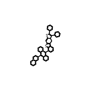 C1=C2SC(c3ccccc3)=C(c3ccccc3)C2Cc2c1sc1c(-c3c4ccccc4c(-c4ccc5ccccc5c4)c4ccccc34)cccc21